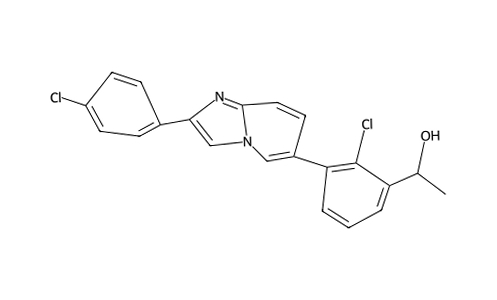 CC(O)c1cccc(-c2ccc3nc(-c4ccc(Cl)cc4)cn3c2)c1Cl